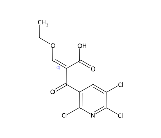 CCO/C=C(\C(=O)O)C(=O)c1cc(Cl)c(Cl)nc1Cl